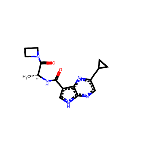 C[C@@H](NC(=O)c1c[nH]c2ncc(C3CC3)nc12)C(=O)N1CCC1